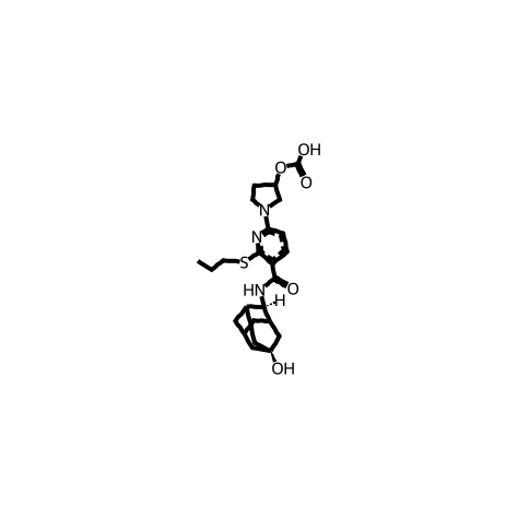 CCCSc1nc(N2CCC(OC(=O)O)C2)ccc1C(=O)N[C@H]1C2CC3CC1C[C@@](O)(C3)C2